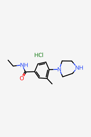 CCNC(=O)c1ccc(N2CCNCC2)c(C)c1.Cl